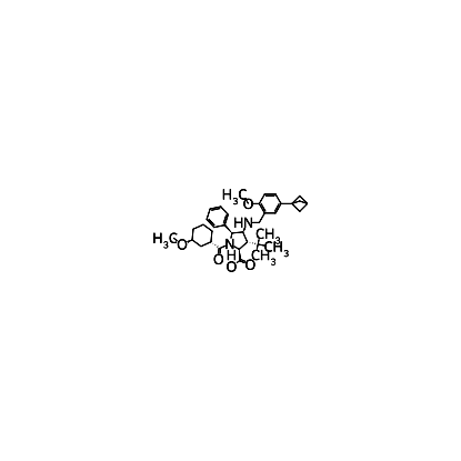 COc1ccc(C23CC(C2)C3)cc1CN[C@H]1[C@H](C(C)(C)C)[C@@H](C(=O)O)N(C(=O)[C@H]2CCC[C@H](OC)C2)[C@H]1c1ccccc1